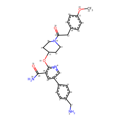 NCc1ccc(-c2cnc(OC3CCN(C(=O)Cc4ccc(OC(F)(F)F)cc4)CC3)c(C(N)=O)c2)cc1